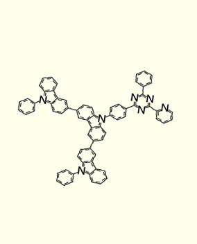 c1ccc(-c2nc(-c3ccc(-n4c5ccc(-c6ccc7c(c6)c6ccccc6n7-c6ccccc6)cc5c5cc(-c6ccc7c(c6)c6ccccc6n7-c6ccccc6)ccc54)cc3)nc(-c3ccccn3)n2)cc1